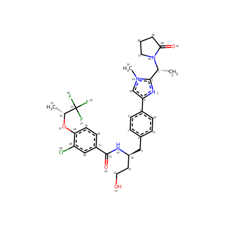 C[C@H](c1nc(-c2ccc(C[C@@H](CCO)NC(=O)c3ccc(O[C@H](C)C(F)(F)F)c(Cl)c3)cc2)cn1C)N1CCCC1=O